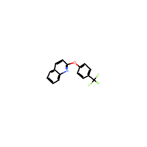 FC(F)(F)c1ccc(Oc2ccc3ccccc3n2)cc1